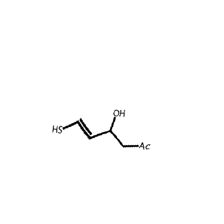 CC(=O)CC(O)C=CS